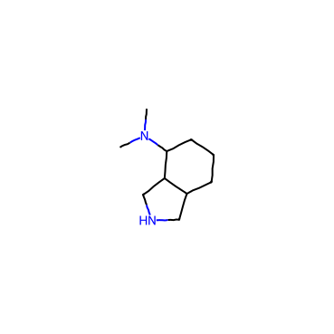 CN(C)C1CCCC2CNCC21